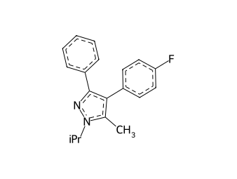 Cc1c(-c2ccc(F)cc2)c(-c2ccccc2)nn1C(C)C